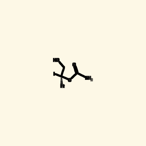 CC[C@](I)(CO)OC(N)=O